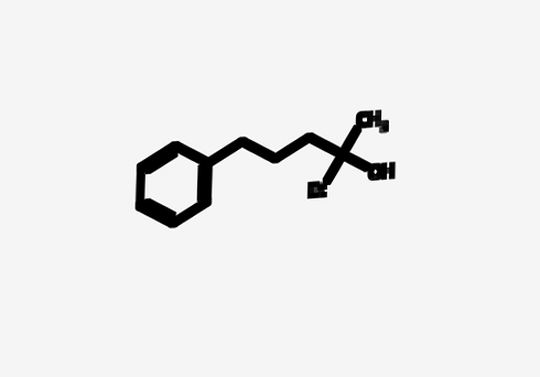 CCC(C)(O)CCCc1ccccc1